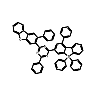 c1ccc(-c2nc(-c3cc(-c4ccccc4)c4c(c3)[Si](c3ccccc3)(c3ccccc3)c3ccccc3-4)nc(-c3cc4oc5ccccc5c4cc3-c3ccccc3)n2)cc1